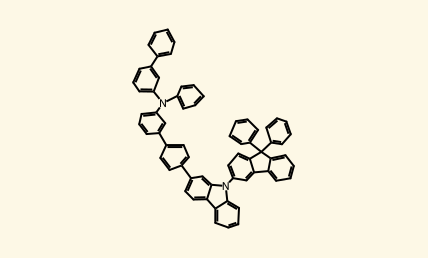 c1ccc(-c2cccc(N(c3ccccc3)c3cccc(-c4ccc(-c5ccc6c7ccccc7n(-c7ccc8c(c7)-c7ccccc7C8(c7ccccc7)c7ccccc7)c6c5)cc4)c3)c2)cc1